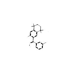 Cc1cc2c(cc1C(=NO)c1cccc(I)c1)C(C)(C)CCC2(C)C